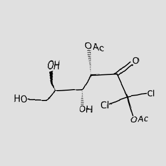 CC(=O)O[C@H](C(=O)C(Cl)(Cl)OC(C)=O)[C@H](O)[C@H](O)CO